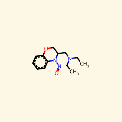 CCN(CC)CC1COc2ccccc2N1N=O